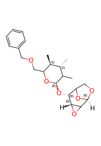 CC1[C@@H](O[C@@H]2C3CO[C@H](O3)C3O[C@@H]32)OC(COCc2ccccc2)[C@@H](C)[C@@H]1C